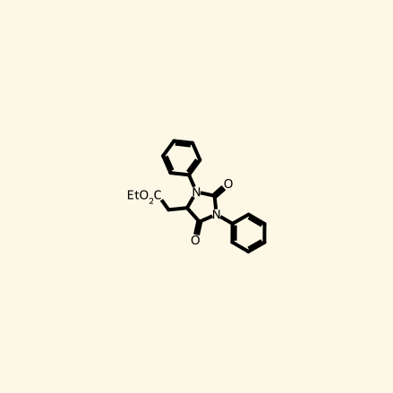 CCOC(=O)CC1C(=O)N(c2ccccc2)C(=O)N1c1ccccc1